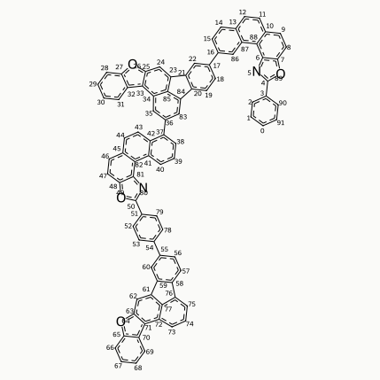 c1ccc(-c2nc3c(ccc4ccc5ccc(-c6ccc7c(c6)-c6cc8oc9ccccc9c8c8cc(-c9cccc%10c9ccc9ccc%11oc(-c%12ccc(-c%13ccc%14c(c%13)-c%13cc%15oc%16ccccc%16c%15c%15cccc-%14c%13%15)cc%12)nc%11c9%10)cc-7c68)cc5c43)o2)cc1